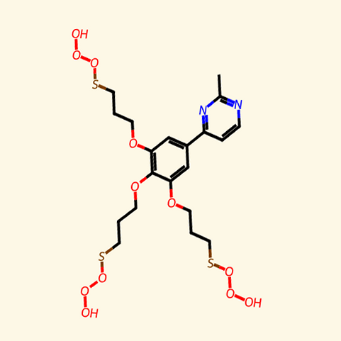 Cc1nccc(-c2cc(OCCCSOOO)c(OCCCSOOO)c(OCCCSOOO)c2)n1